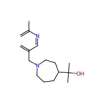 C=C(/C=N\C(=C)C)CN1CCCC(C(C)(C)O)CC1